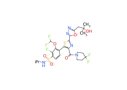 CC(C)NS(=O)(=O)c1ccc(-c2sc(-c3nnc(CC(C)(C)O)o3)nc2C(=O)N2CCC(F)(F)CC2)c(OC(F)F)c1F